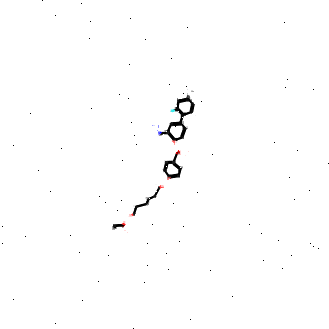 C=CC(=O)OCCCCCCOc1ccc(C(=O)Oc2ccc(-c3ccc(CCCCC)cc3F)cc2C=N)cc1